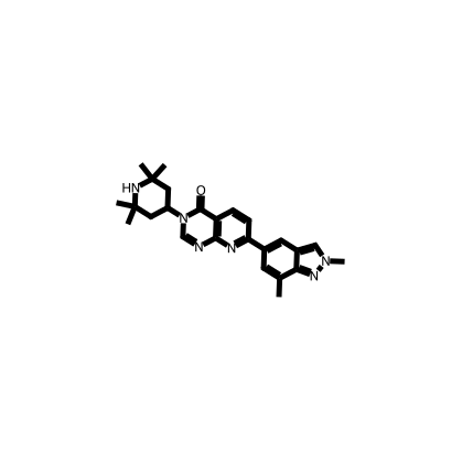 Cc1cc(-c2ccc3c(=O)n(C4CC(C)(C)NC(C)(C)C4)cnc3n2)cc2cn(C)nc12